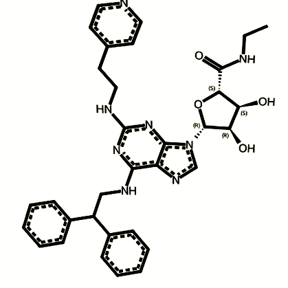 CCNC(=O)[C@H]1O[C@@H](n2cnc3c(NCC(c4ccccc4)c4ccccc4)nc(NCCc4ccncc4)nc32)[C@H](O)[C@@H]1O